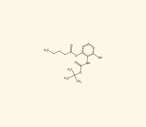 CCCCC(=O)Oc1cccc(O)c1NC(=O)OC(C)(C)C